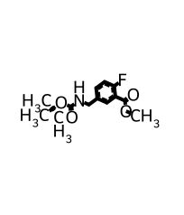 COC(=O)c1cc(CNC(=O)OC(C)(C)C)ccc1F